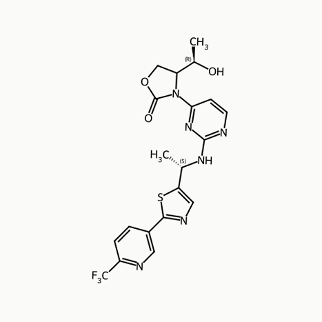 C[C@H](Nc1nccc(N2C(=O)OCC2[C@@H](C)O)n1)c1cnc(-c2ccc(C(F)(F)F)nc2)s1